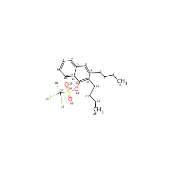 CCCCc1cc2ccccc2c(OS(=O)(=O)C(F)(F)F)c1CCCC